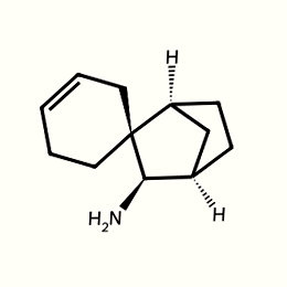 N[C@@H]1[C@@H]2CC[C@@H](C2)[C@]12CC=CCC2